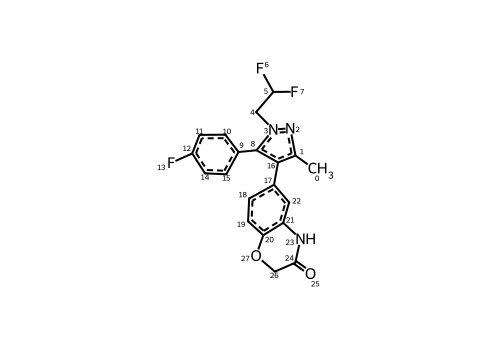 Cc1nn(CC(F)F)c(-c2ccc(F)cc2)c1-c1ccc2c(c1)NC(=O)CO2